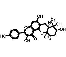 CC1(C)[C@@H](O)CC[C@]2(C)Oc3c(c(O)cc4oc(-c5ccc(O)cc5)c(O)c(=O)c34)C[C@@H]12